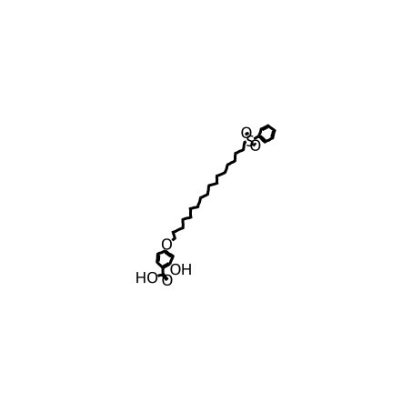 O=C(O)c1ccc(OCCCCCCCCCCCCCCCCCCS(=O)(=O)c2ccccc2)cc1O